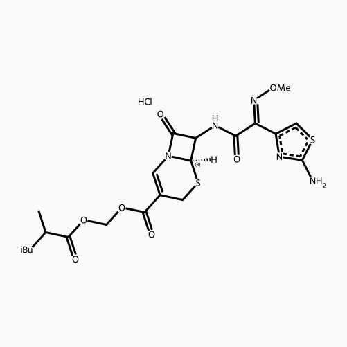 CCC(C)C(C)C(=O)OCOC(=O)C1=CN2C(=O)C(NC(=O)C(=NOC)c3csc(N)n3)[C@H]2SC1.Cl